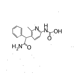 Cc1nc(NC(=O)O)ccc1C(C(N)=O)c1ccccc1